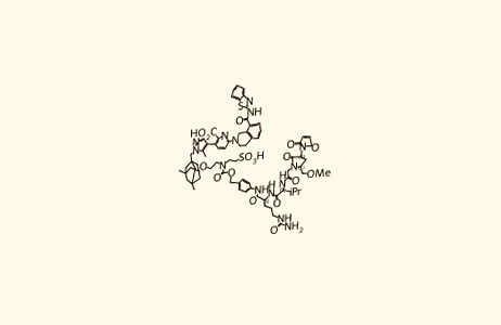 COC[C@@H]1C[C@H](N2C(=O)C=CC2=O)C(=O)N1CC(=O)N[C@H](C(=O)N[C@@H](CCCNC(N)=O)C(=O)Nc1ccc(COC(=O)N(CCOC23CC4(C)CC(C)(CC(Cn5ncc(-c6ccc(N7CCc8cccc(C(=O)Nc9nc%10ccccc%10s9)c8C7)nc6C(=O)O)c5C)(C4)C2)C3)CCS(=O)(=O)O)cc1)C(C)C